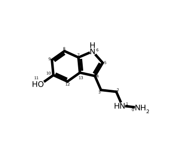 NNCCc1c[nH]c2ccc(O)cc12